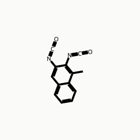 Cc1c(N=C=O)c(N=C=O)cc2ccccc12